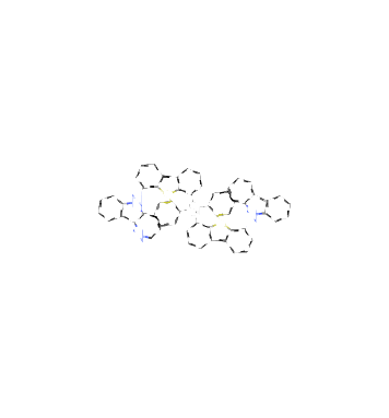 c1ccc([Si](c2ccccc2)(c2cccc3c2sc2c(-n4c5ccccc5c5ccccc54)cccc23)c2cccc3c2sc2c(-n4c5ccccc5c5ncccc54)cccc23)cc1